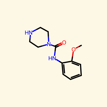 COc1ccccc1NC(=O)N1CCNCC1